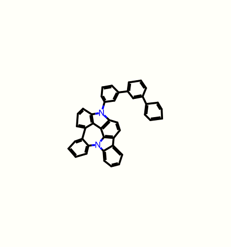 c1ccc(-c2cccc(-c3cccc(-n4c5cccc6c7ccccc7n7c8ccccc8c8ccc4c(c65)c87)c3)c2)cc1